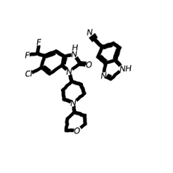 N#Cc1ccc2[nH]cnc2c1.O=c1[nH]c2cc(C(F)F)c(Cl)cc2n1C1CCN(C2CCOCC2)CC1